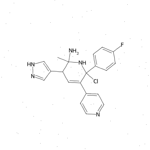 CC1(N)NC(Cl)(c2ccc(F)cc2)C(c2ccncc2)=CC1c1cn[nH]c1